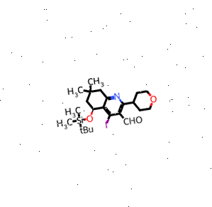 CC1(C)Cc2nc(C3CCOCC3)c(C=O)c(I)c2[C@@H](O[Si](C)(C)C(C)(C)C)C1